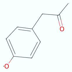 CC(=O)Cc1ccc([O])cc1